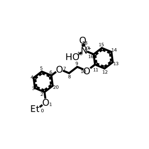 CCOc1cccc(OCCOc2ccccc2[N+](=O)O)c1